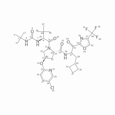 CC(C)(C)NC(=O)N[C@H](C(=O)N1C[C@H](Oc2ccc(Cl)cn2)C[C@H]1C(=O)NC(CC1CCC1)C(=O)c1nc(C(F)(F)F)co1)C(C)(C)C